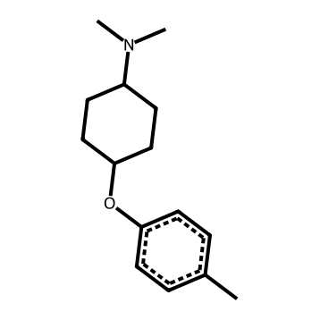 Cc1ccc(OC2CCC(N(C)C)CC2)cc1